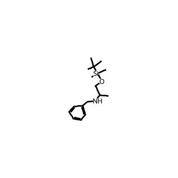 CC(CO[Si](C)(C)C(C)(C)C)NCc1ccccc1